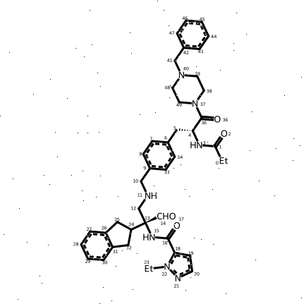 CCC(=O)N[C@H](Cc1ccc(CNC[C@](C=O)(NC(=O)c2ccnn2CC)C2Cc3ccccc3C2)cc1)C(=O)N1CCN(Cc2ccccc2)CC1